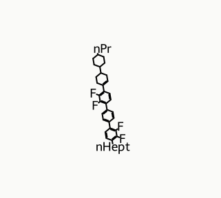 CCCCCCCc1ccc(-c2ccc(-c3ccc(C4=CCC(C5CCC(CCC)CC5)CC4)c(F)c3F)cc2)c(F)c1F